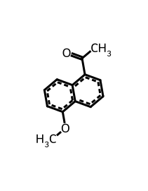 COc1cccc2c(C(C)=O)cccc12